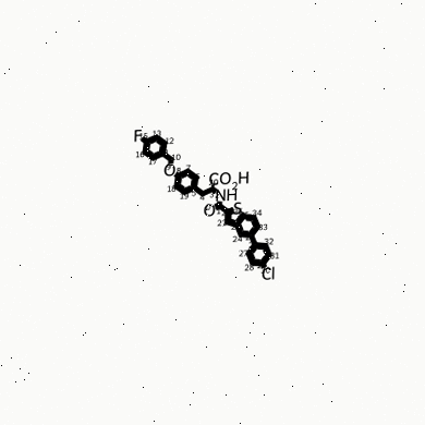 O=C(N[C@@H](Cc1ccc(OCc2ccc(F)cc2)cc1)C(=O)O)c1cc2cc(-c3ccc(Cl)cc3)ccc2s1